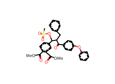 COC(=O)c1ccc(C(OS(C)(=O)=O)C(Cc2ccccc2)C(=O)c2ccc(Oc3ccccc3)cc2)cc1C(=O)OC